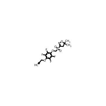 C#CCOc1c(F)c(F)c(OCS(=O)(=O)C2=NOC(C)(C)C2)c(F)c1F